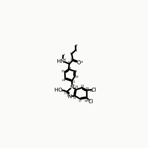 CCCC(=O)C(NC)c1ccc(-n2c(O)nc3cc(Cl)c(Cl)cc32)cc1